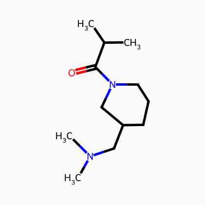 CC(C)C(=O)N1CCCC(CN(C)C)C1